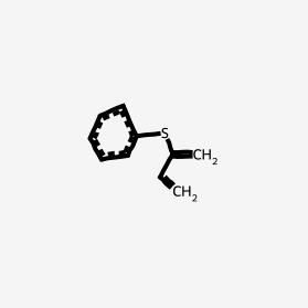 C=CC(=C)Sc1ccccc1